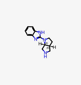 c1ccc2[nH]c(N3CC[C@@H]4CNC[C@@H]43)nc2c1